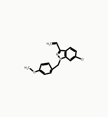 C=Cc1nn(Cc2ccc(OC)cc2)c2cc(Cl)ccc12